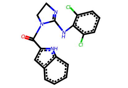 O=C(c1cc2ccccc2[nH]1)N1CCN=C1Nc1c(Cl)cccc1Cl